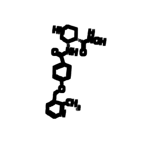 Cc1ncccc1COc1ccc(C(=O)N[C@@H]2CNCC[C@@H]2C(=O)NO)cc1